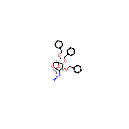 [N-]=[N+]=NC1[C@H]2OC[C@](COCc3ccccc3)(O2)[C@H](OCc2ccccc2)[C@@H]1OCc1ccccc1